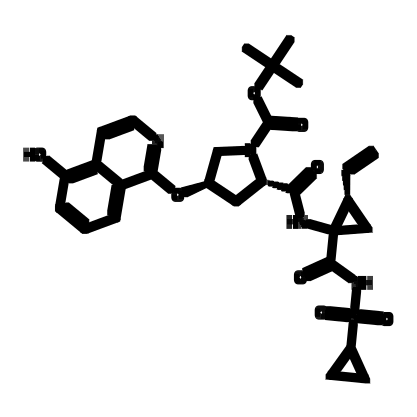 C=C[C@@H]1CC1(NC(=O)[C@@H]1C[C@@H](Oc2nccc3c(O)cccc23)CN1C(=O)OC(C)(C)C)C(=O)NS(=O)(=O)C1CC1